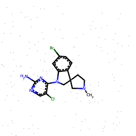 CN1CCC2(C1)CN(c1nc(N)ncc1Cl)c1cc(Br)ccc12